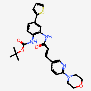 CC(C)(C)OC(=O)Nc1ccc(-c2cccs2)cc1NC(=O)/C=C/c1ccc(N2CCOCC2)nc1